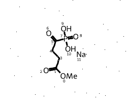 COC(=O)CCC(=O)P(=O)(O)O.[Na]